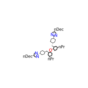 CCCCCCCCCCc1cnc([C@H]2CC[C@H](Cc3cc(CCC)ccc3Oc3ccc(CCC)cc3C[C@H]3CC[C@H](c4ncc(CCCCCCCCCC)cn4)CC3)CC2)nc1